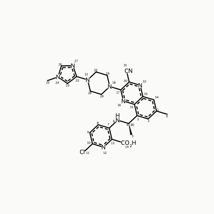 Cc1cc([C@@H](C)Nc2ccc(Cl)nc2C(=O)O)c2nc(N3CCN(c4cn(C)cn4)CC3)c(C#N)nc2c1